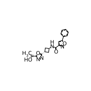 C[C@H](O)c1nnc([C@H]2C[C@H](NC(=O)c3cc(-c4ccccc4)on3)C2)o1